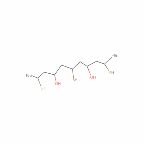 CC(C)(C)C(S)CC(O)CC(S)CC(O)CC(S)C(C)(C)C